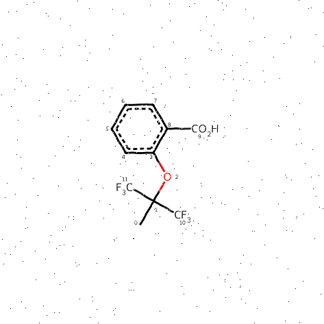 CC(Oc1ccccc1C(=O)O)(C(F)(F)F)C(F)(F)F